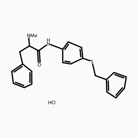 CNC(Cc1ccccc1)C(=O)Nc1ccc(SCc2ccccc2)cc1.Cl